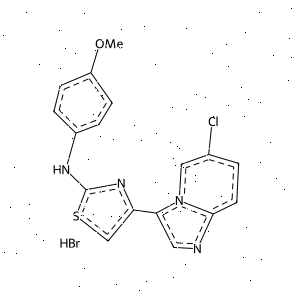 Br.COc1ccc(Nc2nc(-c3cnc4ccc(Cl)cn34)cs2)cc1